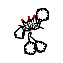 C[Si](C)(C)[Ti]([CH2]c1ccccc1)([CH2]c1ccccc1)([CH2]c1ccccc1)([C]1=CC=CC1)([Si](C)(C)C)([Si](C)(C)C)([Si](C)(C)C)[Si](C)(C)C